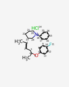 CC=CCC(C)Oc1ccc(F)cc1.Cl.c1ccc(N2CCCCC2)cc1